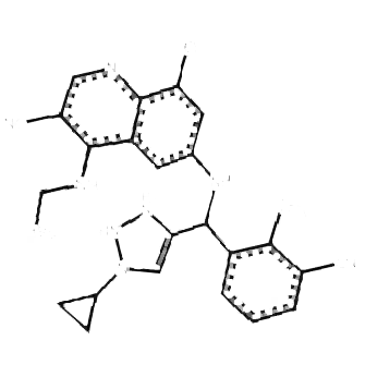 Cc1c(C#N)cccc1C(Nc1cc(Cl)c2ncc(C#N)c(NCC(C)(C)C)c2c1)C1=CN(C2CC2)NN1